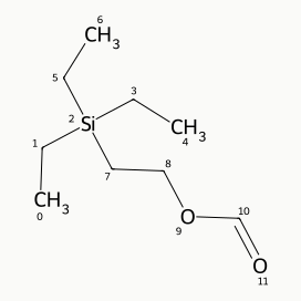 CC[Si](CC)(CC)CCOC=O